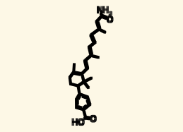 CC1=C(/C=C/C(C)=C/C=C/C(C)=C/C(N)=O)C(C)(C)C(c2ccc(C(=O)O)cc2)CC1